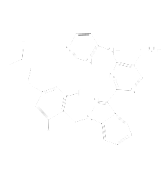 COc1cnc(-c2nn(Cc3c(F)cc(OCC(F)F)cc3F)c3ccccc23)nc1Nc1ccncn1